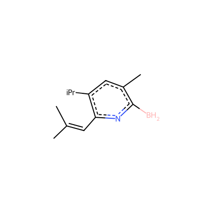 Bc1nc(C=C(C)C)c(C(C)C)cc1C